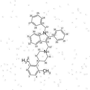 Cc1cccc(C)c1C1CCN(Cc2c(-c3ccccc3)n(Cc3ccccc3)c3ccccc23)CC1